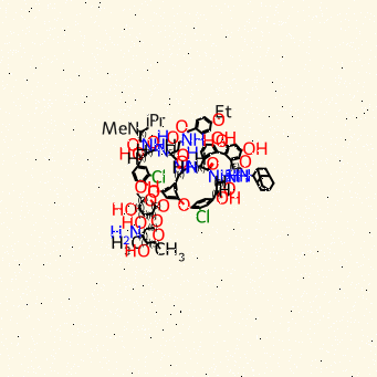 CCOc1ccc(C(=O)NC(=O)C[C@@H]2NC(=O)[C@H](NC(=O)[C@@H](CC(C)C)NC)[C@H](O)c3ccc(c(Cl)c3)Oc3cc4cc(c3O[C@@H]3O[C@H](CO)[C@@H](O)[C@H](O)[C@H]3O[C@H]3C[C@](C)(N)[C@H](O)[C@H](C)O3)Oc3ccc(cc3Cl)[C@@H](O)[C@@H]3NC(=O)[C@H](NC(=O)[C@@H]4NC2=O)c2ccc(O)c(c2)-c2c(O)cc(O)cc2[C@@H](C(=O)NC2C4CC5CC(C4)CC2C5)NC3=O)cc1